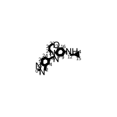 c1ncc2cc(-c3nc4cc(NCC5CC5)cc5c4n3CCCO5)ccc2n1